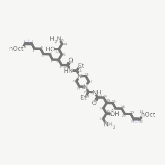 CCCCCCCC/C=C\CCCCCC(CC(=O)NC(CC)N1CCN(C(CC)NC(=O)CC(CCCCC/C=C\CCCCCCCC)CC(O)CN)CC1)CC(O)CN